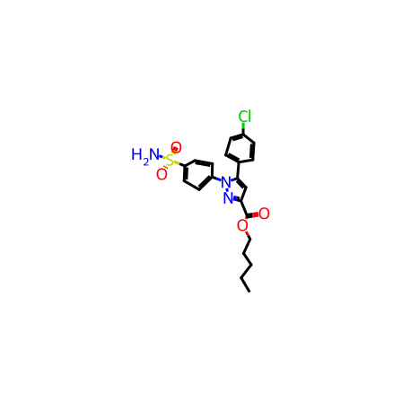 CCCCCOC(=O)c1cc(-c2ccc(Cl)cc2)n(-c2ccc(S(N)(=O)=O)cc2)n1